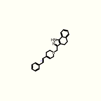 C1=C(/C=C/c2ccccc2)CCN(Cc2n[nH]c3c2CCc2ccccc2-3)C1